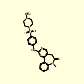 CCCCN1CCN(S(=O)(=O)c2ccc(Nc3ncc4c(n3)-c3ccccc3N(C)C(=O)C4)cc2)CC1